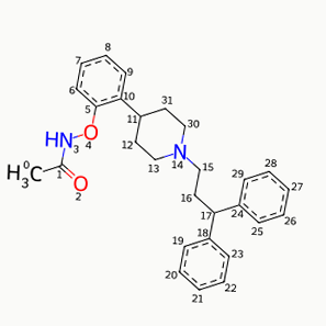 CC(=O)NOc1ccccc1C1CCN(CCC(c2ccccc2)c2ccccc2)CC1